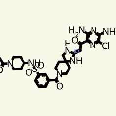 CC(=O)N1CCC(NS(=O)(=O)c2cccc(C(=O)N3CCC4(CC3)CN/C(=C\C(=O)c3nc(Cl)c(N)nc3N)N4)c2)CC1